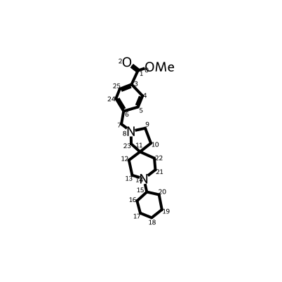 COC(=O)c1ccc(CN2CCC3(CCN(C4CCCCC4)CC3)C2)cc1